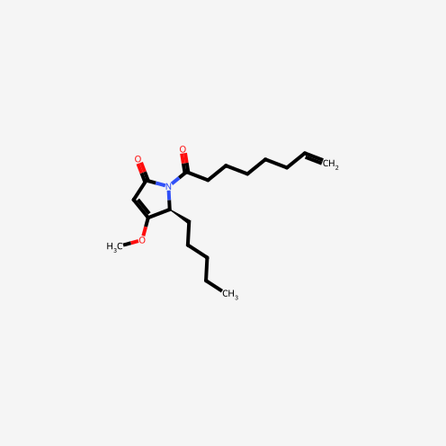 C=CCCCCCC(=O)N1C(=O)C=C(OC)[C@@H]1CCCCC